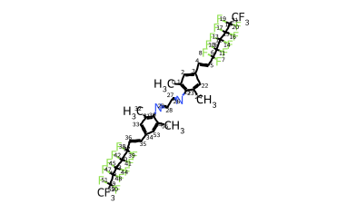 Cc1cc(/C=C/C(F)(F)C(F)(F)C(F)(F)C(F)(F)C(F)(F)C(F)(F)F)cc(C)c1/N=C/C=N/c1c(C)cc(/C=C/C(F)(F)C(F)(F)C(F)(F)C(F)(F)C(F)(F)C(F)(F)F)cc1C